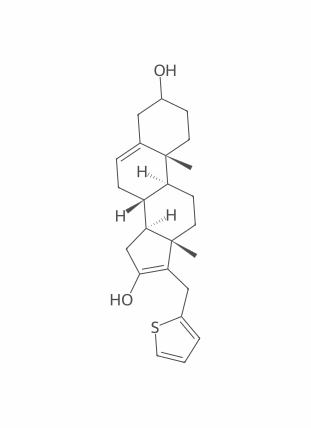 C[C@]12CCC(O)CC1=CC[C@@H]1[C@@H]2CC[C@]2(C)C(Cc3cccs3)=C(O)C[C@@H]12